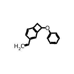 C=Cc1ccc2c(c1)C(Oc1ccccc1)C2